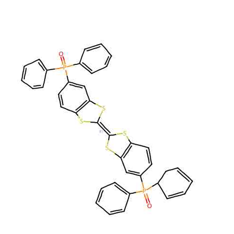 O=P(c1ccccc1)(c1ccccc1)c1ccc2c(c1)S/C(=C1\Sc3ccc(P(=O)(c4ccccc4)C4C=CC=CC4)cc3S1)S2